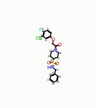 O=C(COc1ccc(F)c(Cl)c1)N1CCC(S(=O)(=O)NCc2ccccc2)CC1